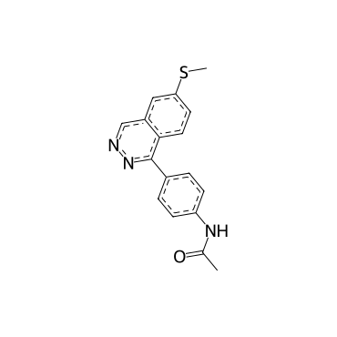 CSc1ccc2c(-c3ccc(NC(C)=O)cc3)nncc2c1